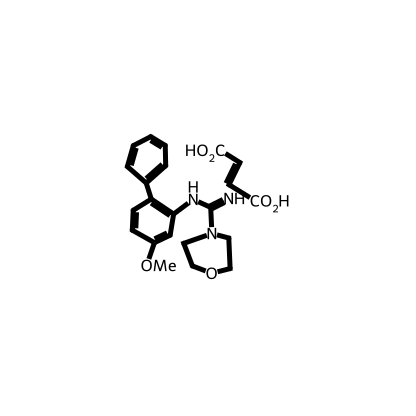 COc1ccc(-c2ccccc2)c(NC(=N)N2CCOCC2)c1.O=C(O)/C=C/C(=O)O